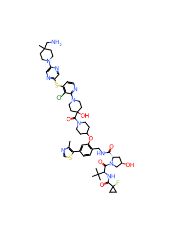 Cc1ncsc1-c1ccc(CNC(=O)[C@@H]2C[C@@H](O)CN2C(=O)[C@@H](NC(=O)C2(F)CC2)C(C)(C)C)c(OC2CCN(C(=O)C3(O)CCN(c4nccc(Sc5cnc(N6CCC(C)(CN)CC6)cn5)c4Cl)CC3)CC2)c1